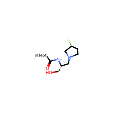 CCCCCCCC(=O)N[C@@H](CO)CN1CC[C@H](F)C1